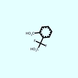 O=C(O)c1ccccc1C(F)(F)C(=O)O